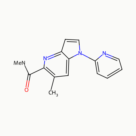 CNC(=O)c1nc2ccn(-c3ccccn3)c2cc1C